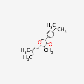 CCC(C)=CCCC(C)C(=O)C(C=O)c1ccc(C(C)C)cc1